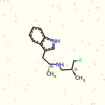 C[C@H](CF)CN[C@H](C)Cc1c[nH]c2ccccc12